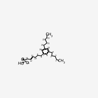 CCCCCc1cc(CCCC=CCS(=O)(=O)O)cc(CCCCC)c1